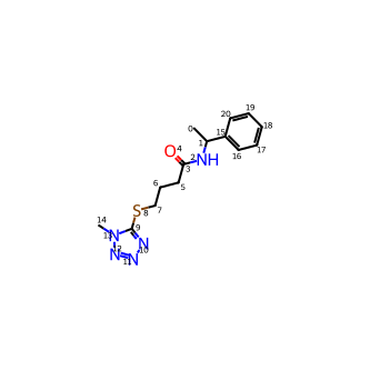 CC(NC(=O)CCCSc1nnnn1C)c1ccccc1